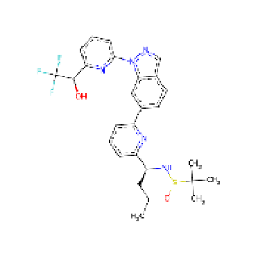 CCC[C@H](N[S@@+]([O-])C(C)(C)C)c1cccc(-c2ccc3cnn(-c4cccc([C@@H](O)C(F)(F)F)n4)c3c2)n1